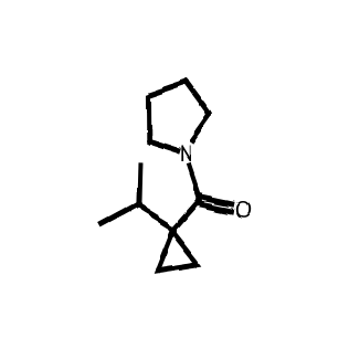 CC(C)C1(C(=O)N2CCCC2)CC1